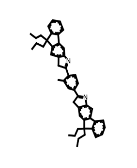 CCCC1(CCC)c2ccccc2-c2cc3c(cc21)CC(c1ccc(C2=Nc4cc5c(cc4C2)C(CCC)(CCC)c2ccccc2-5)c(C)c1)=N3